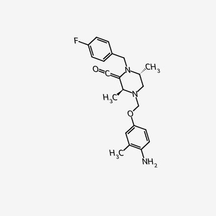 Cc1cc(OCN2C[C@@H](C)N(Cc3ccc(F)cc3)C(=C=O)[C@@H]2C)ccc1N